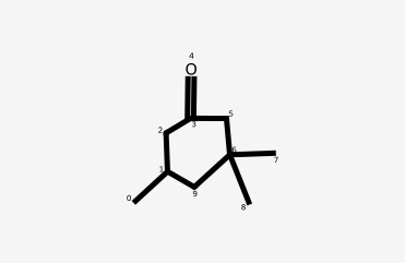 CC1CC(=O)CC(C)(C)C1